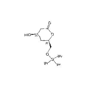 CC(C)[Si](OC[C@H]1C[C@@H](O)CC(=O)O1)(C(C)C)C(C)C